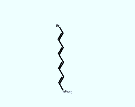 [CH2]C/C=C/C=C/C=C/C=C/CCCCC